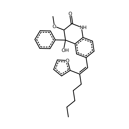 CCCCCC(=Cc1ccc2c(c1)C(O)(c1ccccc1)C(OC)C(=O)N2)c1ccco1